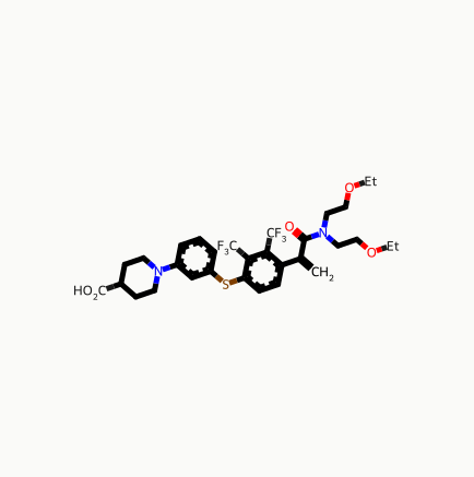 C=C(C(=O)N(CCOCC)CCOCC)c1ccc(Sc2cccc(N3CCC(C(=O)O)CC3)c2)c(C(F)(F)F)c1C(F)(F)F